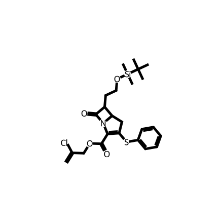 C=C(Cl)COC(=O)C1=C(Sc2ccccc2)CC2C(CCO[Si](C)(C)C(C)(C)C)C(=O)N12